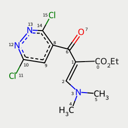 CCOC(=O)C(=CN(C)C)C(=O)c1cc(Cl)nnc1Cl